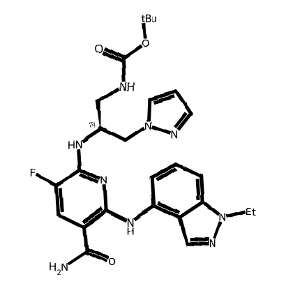 CCn1ncc2c(Nc3nc(N[C@@H](CNC(=O)OC(C)(C)C)Cn4cccn4)c(F)cc3C(N)=O)cccc21